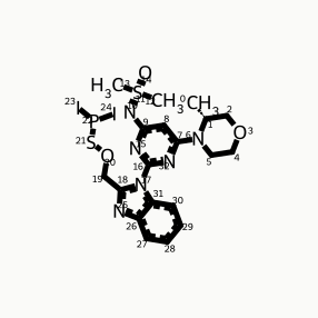 C[C@@H]1COCCN1c1cc(N=S(C)(C)=O)nc(-n2c(COSP(I)I)nc3ccccc32)n1